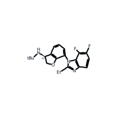 CCc1nc2ccc(F)c(F)c2n1-c1cccc2c1OC[C@H]2NC(C)(C)C